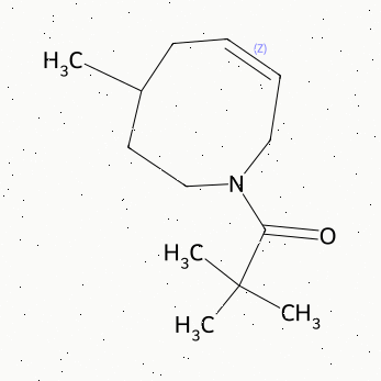 CC1C/C=C\CN(C(=O)C(C)(C)C)CC1